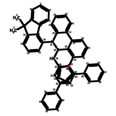 CC1(C)c2ccccc2-c2c(N3B(Nc4nc(-c5ccccc5)nc(-c5ccccc5)n4)c4c(cccc4C4C=CC=C4)-c4ccccc43)cccc21